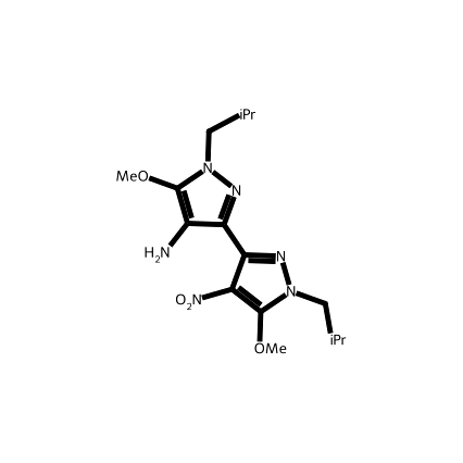 COc1c(N)c(-c2nn(CC(C)C)c(OC)c2[N+](=O)[O-])nn1CC(C)C